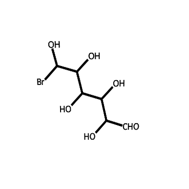 O=CC(O)C(O)C(O)C(O)C(O)Br